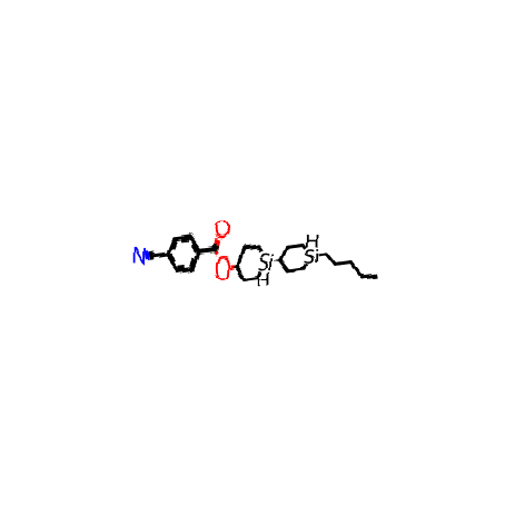 CCCCC[SiH]1CCC([Si@H]2CC[C@H](OC(=O)c3ccc(C#N)cc3)CC2)CC1